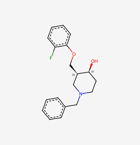 O[C@H]1CCN(Cc2ccccc2)C[C@H]1COc1ccccc1F